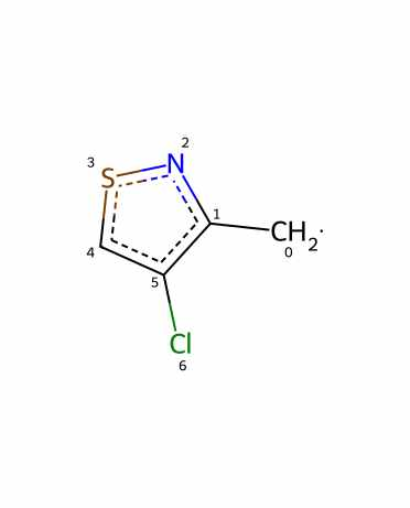 [CH2]c1nscc1Cl